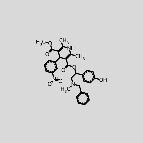 COC(=O)C1=C(C)NC(C)=C(C(=O)OC(CN(C)Cc2ccccc2)c2ccc(O)cc2)C1c1cccc([N+](=O)[O-])c1